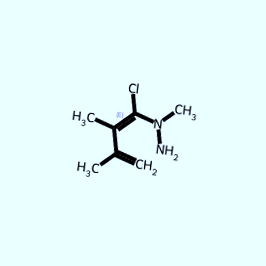 C=C(C)/C(C)=C(/Cl)N(C)N